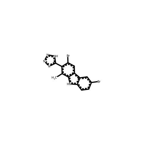 Cc1c(-c2nnn[nH]2)c(Br)cc2c1[nH]c1ccc(Br)cc12